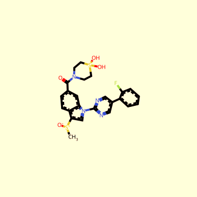 C[S+]([O-])c1cn(-c2ncc(-c3ccccc3F)cn2)c2cc(C(=O)N3CCS(O)(O)CC3)ccc12